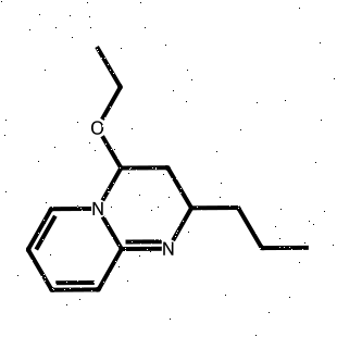 CCCC1CC(OCC)N2C=CC=CC2=N1